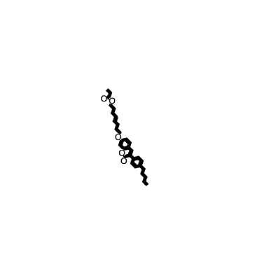 CCCCCc1ccc(-c2cc3ccc(OCCC/C=C/CCCOC(=O)CC)cc3oc2=O)cc1